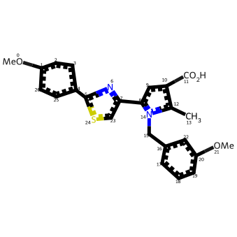 COc1ccc(-c2nc(-c3cc(C(=O)O)c(C)n3Cc3cccc(OC)c3)cs2)cc1